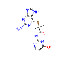 CC(C)(Sc1nc(N)nc2nc[nH]c12)C(=O)Nc1nccc(O)n1